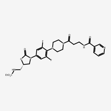 CCOC(=O)NC[C@H]1CN(c2cc(F)c(N3CCN(C(=O)CCNC(=O)c4cccnc4)CC3)c(F)c2)C(=O)O1